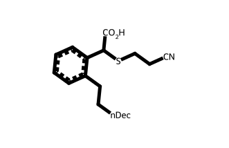 CCCCCCCCCCCCc1ccccc1C(SCCC#N)C(=O)O